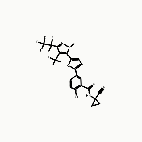 Cn1nc(C(F)(F)C(F)(F)F)c(C(F)(F)F)c1-c1ccc(-c2ccc(Cl)c(C(=O)NC3(C#N)CC3)c2)o1